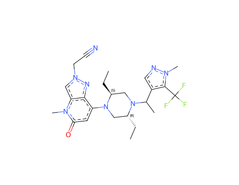 CC[C@H]1CN(C(C)c2cnn(C)c2C(F)(F)F)[C@H](CC)CN1c1cc(=O)n(C)c2cn(CC#N)nc12